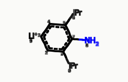 CC(C)c1cccc(C(C)C)c1N.[Li+]